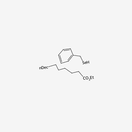 CCCCCCCCCCCCCCCC(=O)OCC.[SeH]Cc1ccccc1